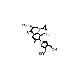 Cc1c(N2CC(CO)C(CO)C2)c(F)cc2c(=O)c(C(=O)O)cn(C3CC3)c12